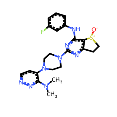 CN(C)c1nnccc1N1CCN(c2nc3c(c(Nc4cccc(F)c4)n2)[S+]([O-])CC3)CC1